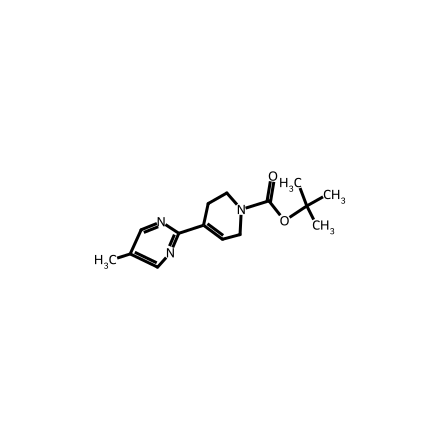 Cc1cnc(C2=CCN(C(=O)OC(C)(C)C)CC2)nc1